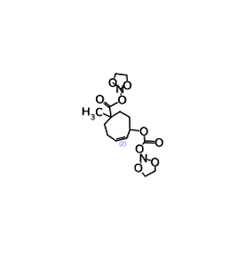 CC1(C(=O)ON2OCCO2)CC/C=C\C(OC(=O)ON2OCCO2)CC1